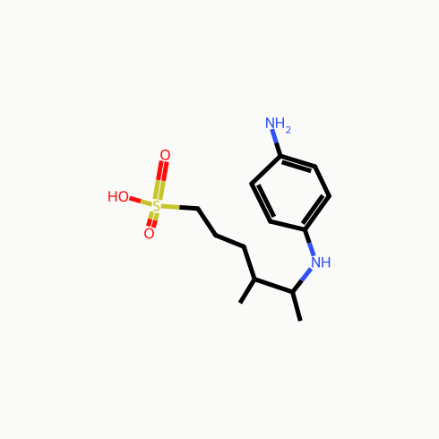 CC(CCCS(=O)(=O)O)C(C)Nc1ccc(N)cc1